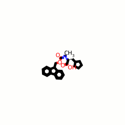 CN(C(=O)OCC1c2ccccc2-c2ccccc21)[C@H](CC1CCCC1)C(=O)O